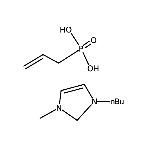 C=CCP(=O)(O)O.CCCCN1C=CN(C)C1